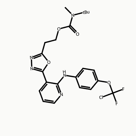 CN(C(=O)OCCc1nnc(-c2cccnc2Nc2ccc(OC(F)(F)Cl)cc2)o1)C(C)(C)C